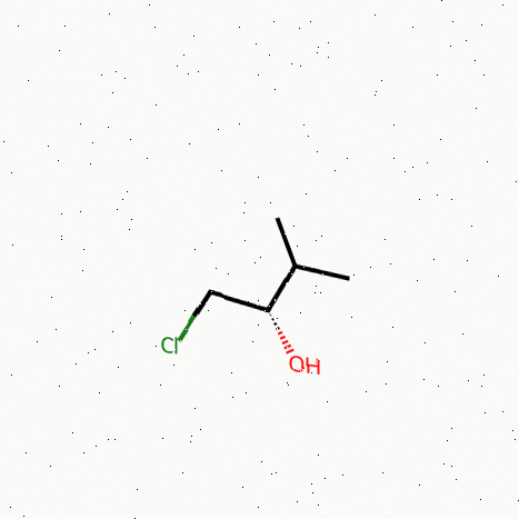 CC(C)[C@H](O)CCl